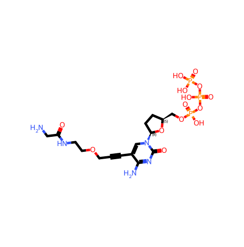 NCC(=O)NCCOCC#Cc1cn([C@H]2CC[C@@H](COP(=O)(O)OP(=O)(O)OP(=O)(O)O)O2)c(=O)nc1N